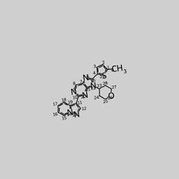 Cc1ccc(-c2nc3cnc(-c4cnn5ccccc45)nc3n2C2CCOCC2)s1